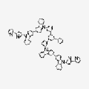 c1ccc(-c2cc(-c3cccc(-n4c5ccccc5c5cc(-c6ccc7c(c6)c6ccccc6n7-c6ccc(-c7ccccn7)nc6)ccc54)c3)cc(-c3cccc(-n4c5ccccc5c5cc(-c6ccc7c(c6)c6ccccc6n7-c6ccc(-c7ccccn7)nc6)ccc54)c3)c2)cc1